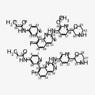 C=CC(=O)Nc1ccnc(-c2c(F)ccc3cnc(Nc4ccc(C5CNCCO5)nc4)nc23)c1.C=CC(=O)Nc1ccnc(-c2c(F)ccc3cnc(Nc4ccc(C5CNCCO5)nc4OC)nc23)c1